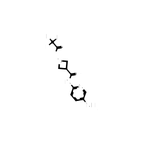 Nc1ccc(NC(=O)C2CN(OC(=O)C(F)(F)F)C2)nc1